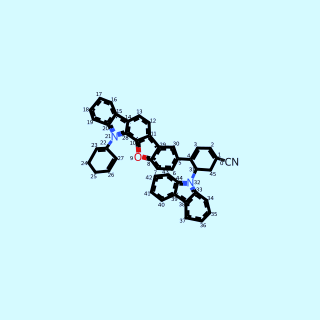 N#CC1=CC=C(c2ccc3oc4c(ccc5c6ccccc6n(C6=CCCC=C6)c54)c3c2)C(n2c3ccccc3c3ccccc32)C1